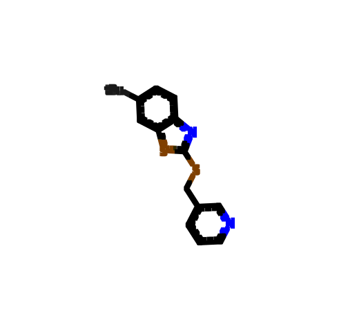 CC(C)(C)c1ccc2nc(SCc3cccnc3)sc2c1